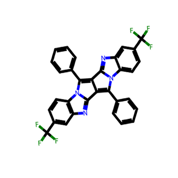 FC(F)(F)c1ccc2c(c1)nc1c3c(-c4ccccc4)n4c5ccc(C(F)(F)F)cc5nc4c3c(-c3ccccc3)n21